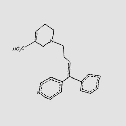 O=C(O)C1=CCCN(CCC=C(c2ccccc2)c2ccncc2)C1